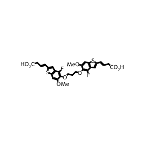 COc1cc2sc(/C=C/CC(=O)O)cc2c(F)c1OCCCOc1c(OC)cc2sc(/C=C/CC(=O)O)cc2c1F